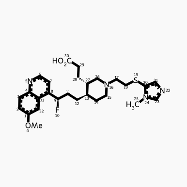 COc1ccc2nccc([C@H](F)CC[C@@H]3CCN(CCSc4cncn4C)C[C@H]3CCC(=O)O)c2c1